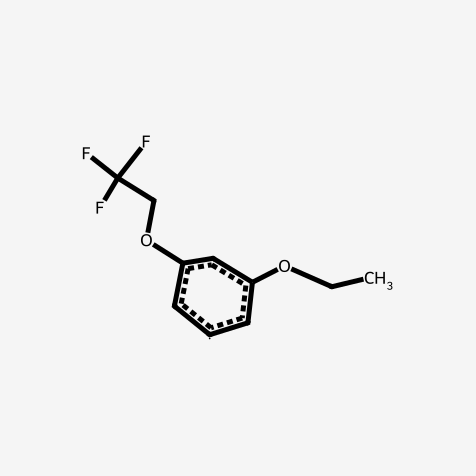 CCOc1c[c]cc(OCC(F)(F)F)c1